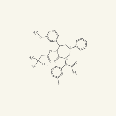 COc1cccc(C2C[C@@H](c3ccccc3)C[C@@H](N(C(N)=O)c3cccc(Cl)c3)C(=O)N2NC(=O)CC(C)(C)C)c1